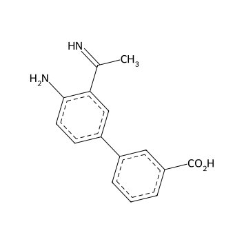 CC(=N)c1cc(-c2cccc(C(=O)O)c2)ccc1N